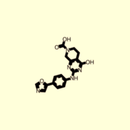 O=C(O)N1CCc2c(O)nc(Nc3ccc(-c4cnco4)cc3)nc2C1